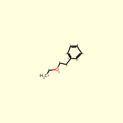 [CH2]COCCc1ccccc1